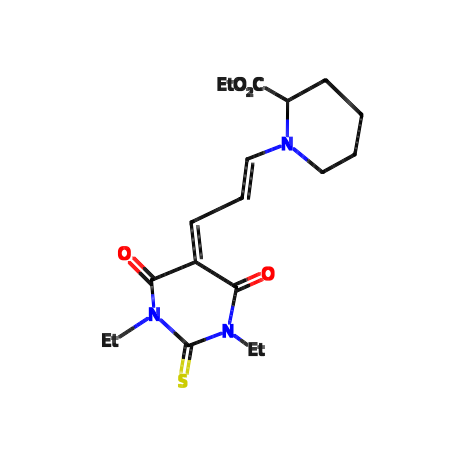 CCOC(=O)C1CCCCN1/C=C/C=C1C(=O)N(CC)C(=S)N(CC)C1=O